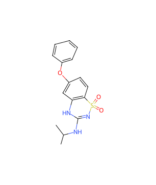 CC(C)NC1=NS(=O)(=O)c2ccc(Oc3ccccc3)cc2N1